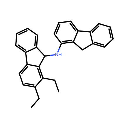 CCc1ccc2c(c1CC)C(Nc1cccc3c1Cc1ccccc1-3)c1ccccc1-2